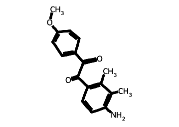 COc1ccc(C(=O)C(=O)c2ccc(N)c(C)c2C)cc1